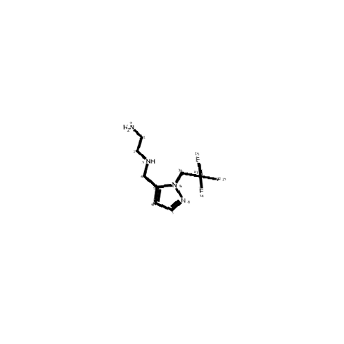 NCCNCc1ccnn1CC(F)(F)F